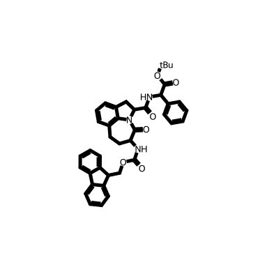 CC(C)(C)OC(=O)C(NC(=O)C1Cc2cccc3c2N1C(=O)C(NC(=O)OCC1c2ccccc2-c2ccccc21)CC3)c1ccccc1